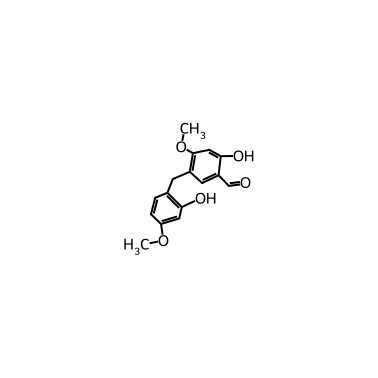 COc1ccc(Cc2cc(C=O)c(O)cc2OC)c(O)c1